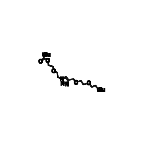 CC(C)(C)CCOCCOCc1cn(CCOCCOC(=O)C(C)(C)C)nn1